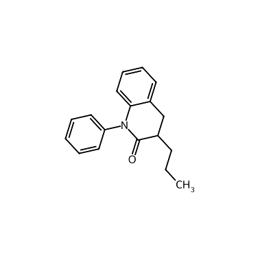 CCCC1Cc2ccccc2N(c2ccccc2)C1=O